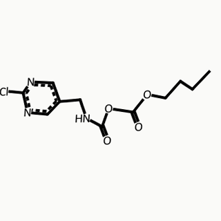 CCCCOC(=O)OC(=O)NCc1cnc(Cl)nc1